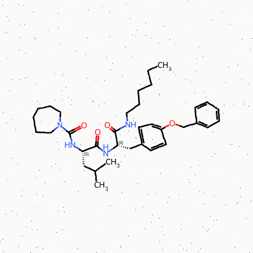 CCCCCCNC(=O)[C@H](Cc1ccc(OCc2ccccc2)cc1)NC(=O)[C@H](CC(C)C)NC(=O)N1CCCCCC1